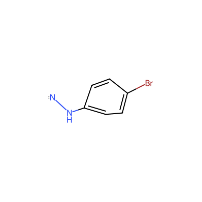 [N]Nc1ccc(Br)cc1